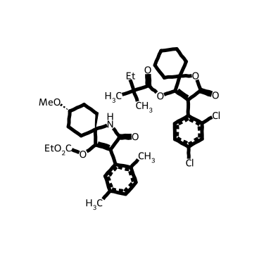 CCC(C)(C)C(=O)OC1=C(c2ccc(Cl)cc2Cl)C(=O)OC12CCCCC2.CCOC(=O)OC1=C(c2cc(C)ccc2C)C(=O)N[C@]12CC[C@@H](OC)CC2